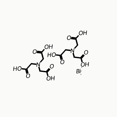 O=C(O)CN(CC(=O)O)CC(=O)O.O=C(O)CN(CC(=O)O)CC(=O)O.[Bi]